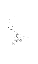 CCCOc1ccc(-c2ccc3c(c2)CC(CC)(CC)C3NC(=O)O)cc1